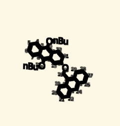 CCCCOc1c2ccccc2c(OCCCC)c2cc(OCc3c4ccccc4cc4ccccc34)ccc12